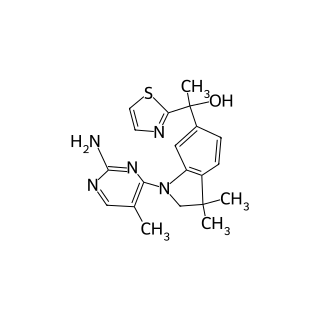 Cc1cnc(N)nc1N1CC(C)(C)c2ccc(C(C)(O)c3nccs3)cc21